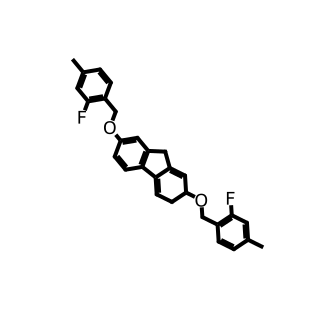 Cc1ccc(COc2ccc3c(c2)CC2=CC(OCc4ccc(C)cc4F)CC=C23)c(F)c1